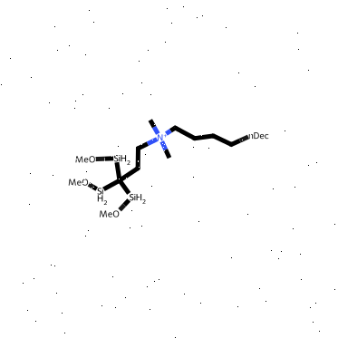 CCCCCCCCCCCCCC[N+](C)(C)CCC([SiH2]OC)([SiH2]OC)[SiH2]OC